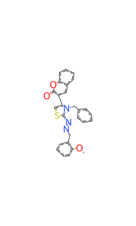 COc1ccccc1/C=N/N=c1\scc(-c2cc3ccccc3oc2=O)n1Cc1ccccc1